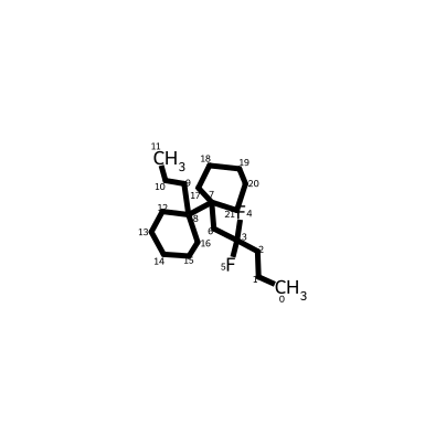 CCCC(F)(F)CC1(C2(CCC)CCCCC2)CCCCC1